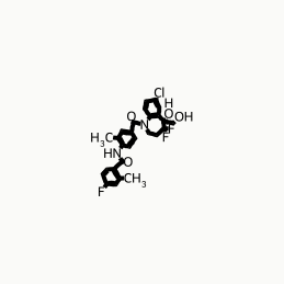 Cc1cc(C(=O)N2CCC(F)(F)[C@](O)(CO)c3cc(Cl)ccc32)ccc1NC(=O)c1ccc(F)cc1C